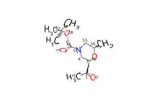 CC(=O)[C@H]1CN(C(=O)OC(C)(C)C)C[C@@H](C)O1